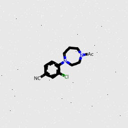 CC(=O)N1CCCN(c2ccc(C#N)cc2Cl)CC1